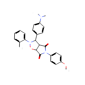 COc1ccc(N2C(=O)C3ON(c4ccccc4C)C(c4ccc(N(C)C)cc4)C3C2=O)cc1